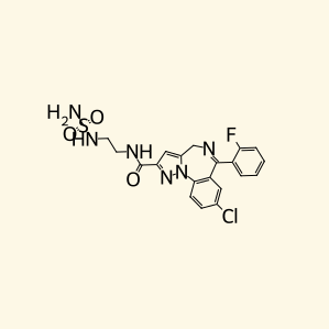 NS(=O)(=O)NCCNC(=O)c1cc2n(n1)-c1ccc(Cl)cc1C(c1ccccc1F)=NC2